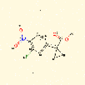 COC(=O)C1(c2ccc([N+](=O)[O-])c(F)c2)CC1